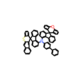 c1ccc(-c2ccc(N(c3cccc4c3-c3ccccc3C43c4ccccc4Oc4ccccc43)c3cccc4c3-c3ccccc3C43c4ccccc4Sc4cc5ccccc5cc43)cc2)cc1